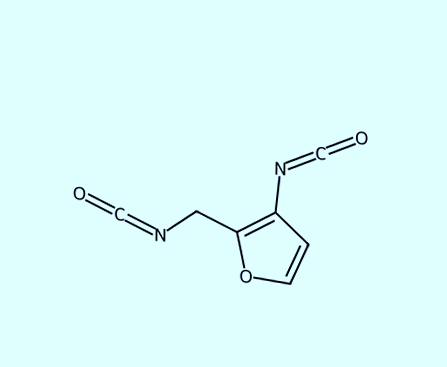 O=C=NCc1occc1N=C=O